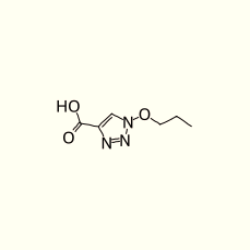 CCCOn1cc(C(=O)O)nn1